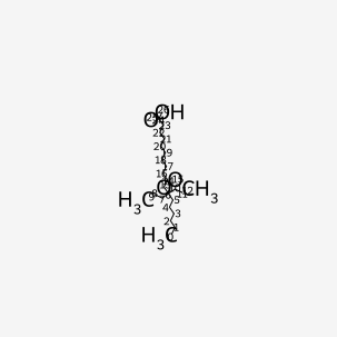 CCCCCCC(CCC)(CCC)OC(=O)CCCCCCCCC(=O)O